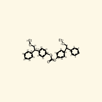 CCOCC(c1ccccc1)c1ccc(OC(=O)Oc2ccc(C(COCC)c3ccccc3)cc2)cc1